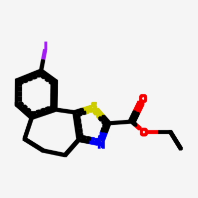 CCOC(=O)c1nc2c(s1)-c1cc(I)ccc1CCC2